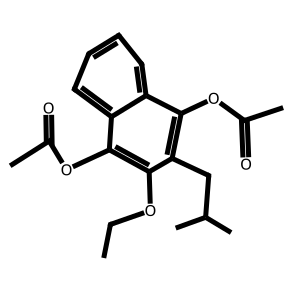 CCOc1c(CC(C)C)c(OC(C)=O)c2ccccc2c1OC(C)=O